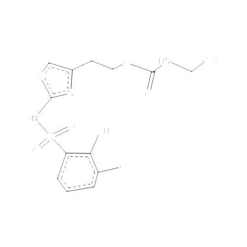 CCNC(=O)OCCc1csc(NS(=O)(=O)c2cccc(Cl)c2C)n1